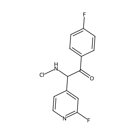 O=C(c1ccc(F)cc1)C(NCl)c1ccnc(F)c1